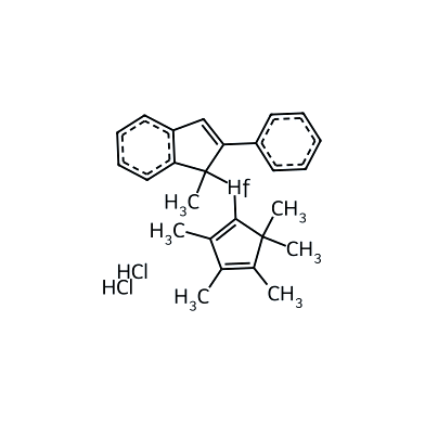 CC1=C(C)C(C)(C)[C]([Hf][C]2(C)C(c3ccccc3)=Cc3ccccc32)=C1C.Cl.Cl